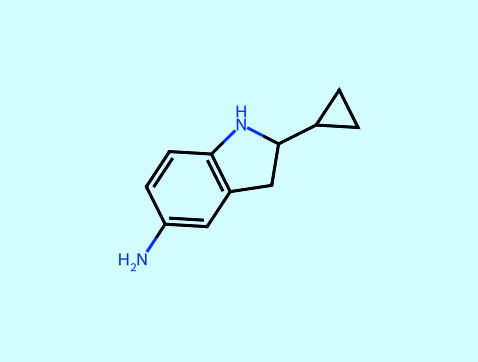 Nc1ccc2c(c1)CC(C1CC1)N2